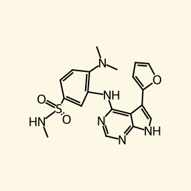 CNS(=O)(=O)c1ccc(N(C)C)c(Nc2ncnc3[nH]cc(-c4ccco4)c23)c1